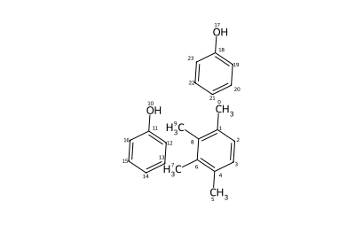 Cc1ccc(C)c(C)c1C.Oc1ccccc1.Oc1ccccc1